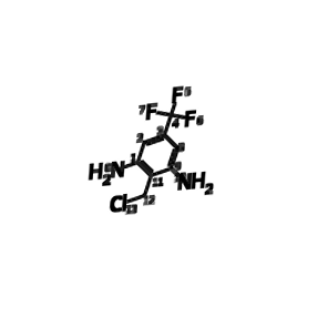 Nc1cc(C(F)(F)F)cc(N)c1CCl